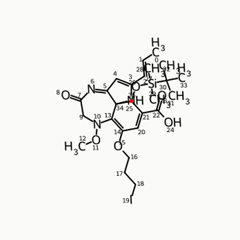 CC=CC1=CC2=NC(=O)CN(OC)C3=C(OCCCI)C=C(C(=O)O)C(O[Si](C)(C)C(C)(C)C)C23N1